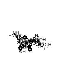 CC(C)C[C@H](NC(=O)[C@H](Cc1c[nH]c2ccccc12)NC(=O)[C@H](Cc1ccc(O)cc1)NC(=O)[C@H](CO)NC(=O)[C@H](Cc1ccc(O)cc1)NC(=O)[C@@H](N)CCCNC(=N)N)C(=O)N[C@@H](CO)C(=O)N[C@H](C(=O)O)[C@@H](C)O